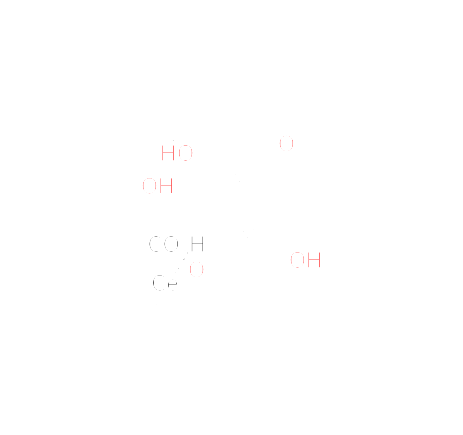 O=C(O)C(=O)O.O=C(O)O.[Ce]